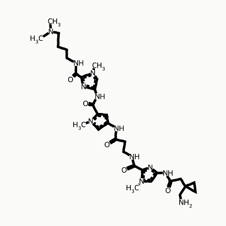 CN(C)CCCCNC(=O)c1nc(NC(=O)c2cc(NC(=O)CCNC(=O)c3nc(NC(=O)CC4(CN)CC4)cn3C)cn2C)cn1C